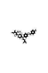 CCC(C)[C@H](N)C(=O)N1CCC(N(CCC(C)C)c2ccc(OCc3ccc(F)cc3)cc2)CC1